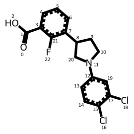 O=C(O)c1cccc(C2CCN(c3ccc(Cl)c(Cl)c3)C2)c1F